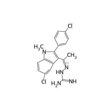 C/C(=N/NC(=N)N)c1c(-c2ccc(Cl)cc2)n(C)c2ccc(Cl)cc12